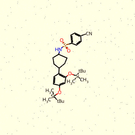 CC(C)(C)[Si](C)(C)Oc1ccc(C2CCC(NS(=O)(=O)c3ccc(C#N)cc3)CC2)c(O[Si](C)(C)C(C)(C)C)c1